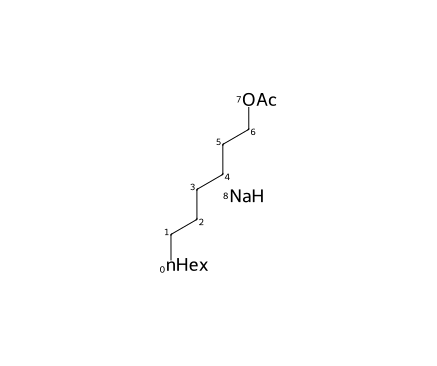 CCCCCCCCCCCCOC(C)=O.[NaH]